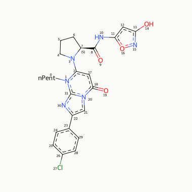 CCCCCn1c(N2CCC[C@H]2C(=O)Nc2cc(O)no2)cc(=O)n2cc(-c3ccc(Cl)cc3)nc12